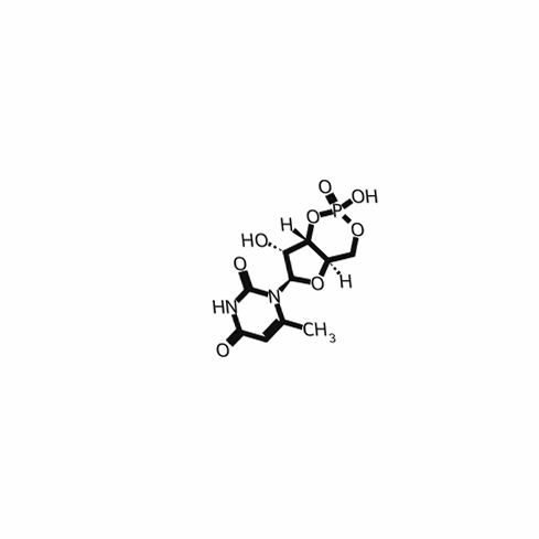 Cc1cc(=O)[nH]c(=O)n1[C@@H]1O[C@@H]2COP(=O)(O)O[C@H]2[C@H]1O